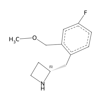 COCc1cc(F)ccc1C[C@H]1CCN1